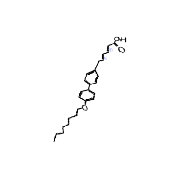 CCCCCCCCOc1ccc(-c2ccc(C/C=C/C=C/C(=O)O)cc2)cc1